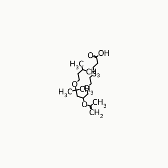 C=C(C)OC(COCCSCCC(=O)O)CC(C)(C)OCCC(C)C